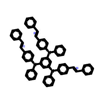 C(=C\c1ccc(N(c2ccccc2)c2cc(N(c3ccccc3)c3ccc(/C=C/c4ccccc4)cc3)cc(N(c3ccccc3)c3ccc(/C=C/c4ccccc4)cc3)c2)cc1)/c1ccccc1